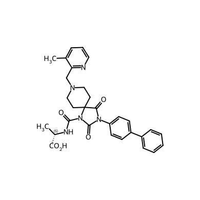 Cc1cccnc1CN1CCC2(CC1)C(=O)N(c1ccc(-c3ccccc3)cc1)C(=O)N2C(=O)N[C@@H](C)C(=O)O